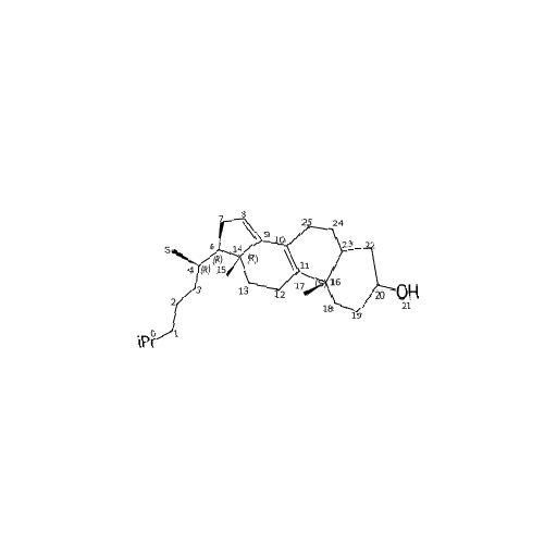 CC(C)CCC[C@@H](C)[C@H]1CC=C2C3=C(CC[C@@]21C)[C@@]1(C)CCC(O)CC1CC3